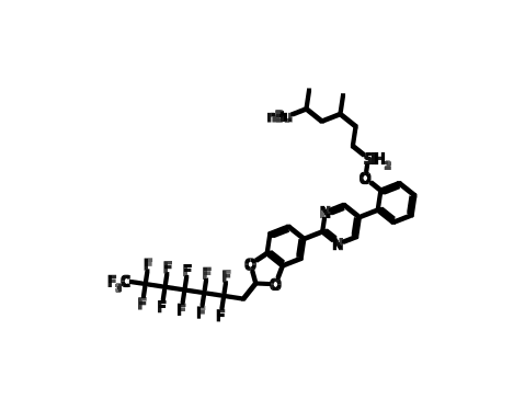 CCCCC(C)CC(C)CC[SiH2]Oc1ccccc1-c1cnc(-c2ccc3c(c2)OC(CC(F)(F)C(F)(F)C(F)(F)C(F)(F)C(F)(F)C(F)(F)F)O3)nc1